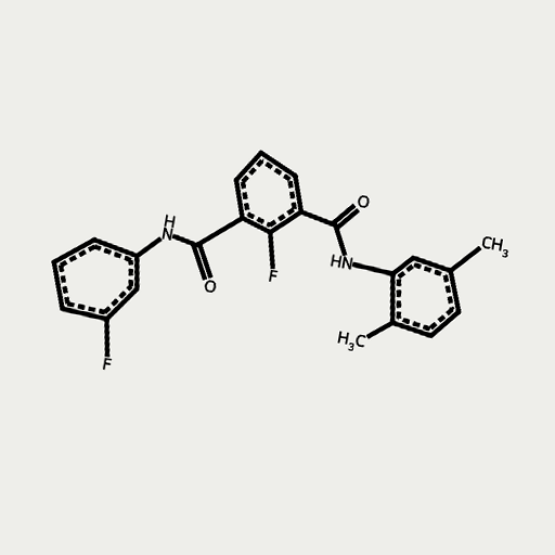 Cc1ccc(C)c(NC(=O)c2cccc(C(=O)Nc3cccc(F)c3)c2F)c1